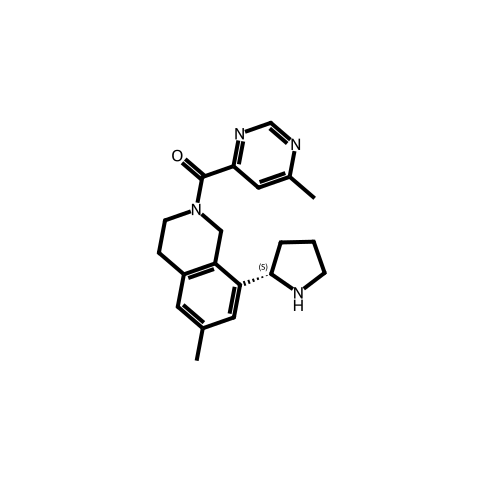 Cc1cc2c(c([C@@H]3CCCN3)c1)CN(C(=O)c1cc(C)ncn1)CC2